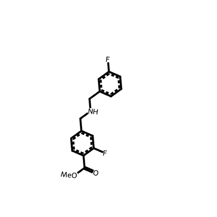 COC(=O)c1ccc(CNCc2cccc(F)c2)cc1F